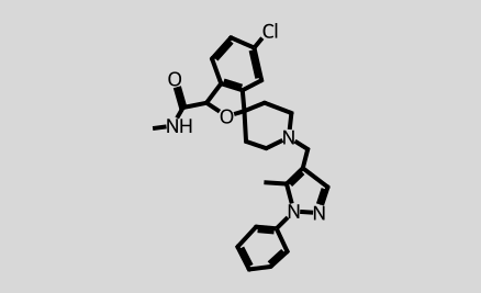 CNC(=O)C1OC2(CCN(Cc3cnn(-c4ccccc4)c3C)CC2)c2cc(Cl)ccc21